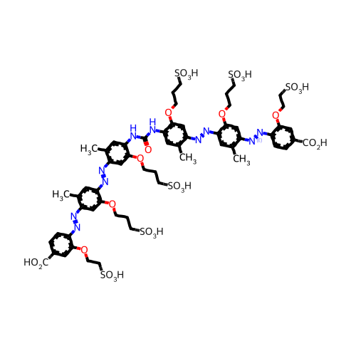 Cc1cc(NC(=O)Nc2cc(C)c(N=Nc3cc(C)c(/N=N/c4ccc(C(=O)O)cc4OCCS(=O)(=O)O)cc3OCCCS(=O)(=O)O)cc2OCCCS(=O)(=O)O)c(OCCCS(=O)(=O)O)cc1N=Nc1cc(C)c(N=Nc2ccc(C(=O)O)cc2OCCS(=O)(=O)O)cc1OCCCS(=O)(=O)O